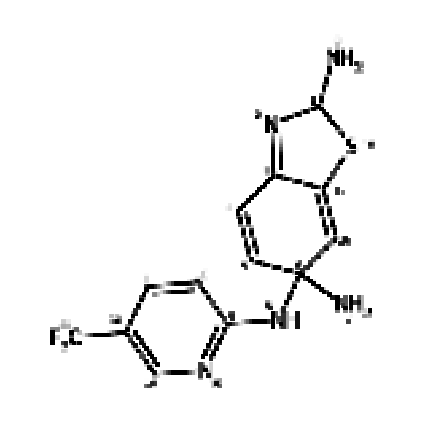 NC1N=C2C=CC(N)(Nc3ccc(C(F)(F)F)cn3)C=C2S1